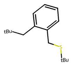 CC(C)(C)Cc1ccccc1CSC(C)(C)C